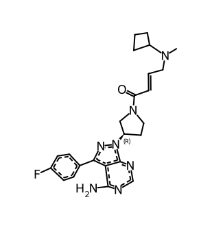 CN(CC=CC(=O)N1CC[C@@H](n2nc(-c3ccc(F)cc3)c3c(N)ncnc32)C1)C1CCC1